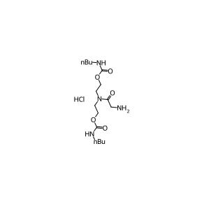 CCCCNC(=O)OCCN(CCOC(=O)NCCCC)C(=O)CN.Cl